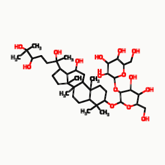 CC(C)(O)C(O)CCC(C)(O)C1CCC2(C)C1C(O)CC1C3(C)CCC(OC4OC(CO)C(O)C(O)C4OC4OC(CO)C(O)C(O)C4O)C(C)(C)C3CCC12C